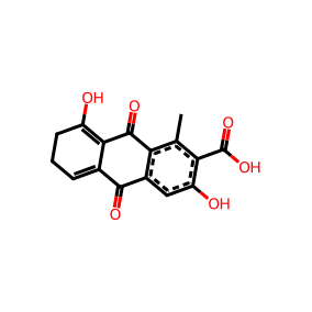 Cc1c(C(=O)O)c(O)cc2c1C(=O)C1=C(O)CCC=C1C2=O